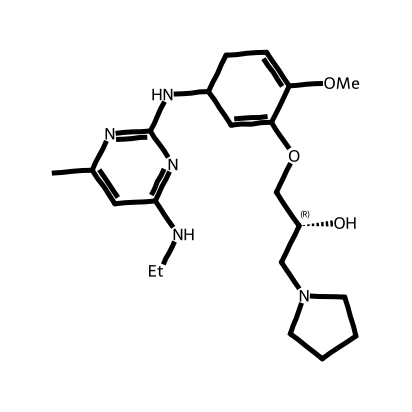 CCNc1cc(C)nc(NC2C=C(OC[C@H](O)CN3CCCC3)C(OC)=CC2)n1